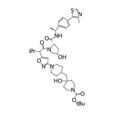 Cc1ncsc1-c1ccc([C@H](C)NC(=O)[C@@H]2C[C@@H](O)CN2C(=O)C(c2cc(N3CCC(CC4(O)CCN(C(=O)OC(C)(C)C)CC4)CC3)no2)C(C)C)cc1